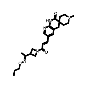 CCCON=C(C)C1CN(C(=O)C=Cc2cnc3c(c2)CC2(CCN(C)CC2)C(=O)N3)C1